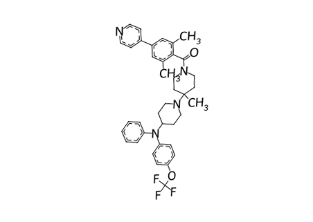 Cc1cc(-c2ccncc2)cc(C)c1C(=O)N1CCC(C)(N2CCC(N(c3ccccc3)c3ccc(OC(F)(F)F)cc3)CC2)CC1